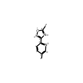 Cc1ccc(-c2noc(I)n2)nc1